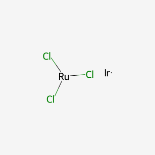 [Cl][Ru]([Cl])[Cl].[Ir]